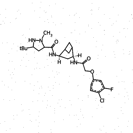 CN1NC(C(C)(C)C)CC1C(=O)N[C@@H]1C[C@H](NC(=O)COc2ccc(Cl)c(F)c2)C2CC1C2